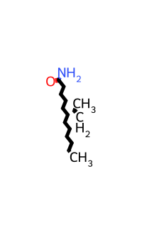 C=CC.CCCCCCCCCCCC(N)=O